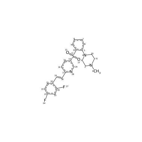 CN1CCN(c2ccccc2S(=O)(=O)c2ccc(C=Cc3ccc(F)cc3F)nc2)CC1